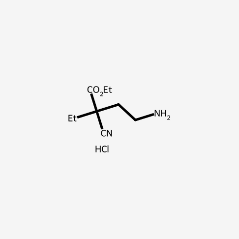 CCOC(=O)C(C#N)(CC)CCN.Cl